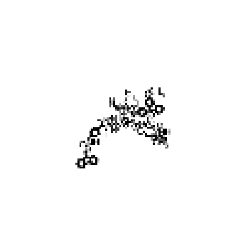 COc1ccc(C(OC[C@H]2O[C@@H](n3cc(C)c(=O)[nH]c3=O)C[C@H]2OP(OCCC#N)OC[C@H]2O[C@@H](n3cnc4c(NC(=O)c5ccc(CNC(=O)OCC6c7ccccc7-c7ccccc76)cc5)ncnc43)C[C@H]2OP(OCCC#N)N(C(C)C)C(C)C)(c2ccccc2)c2ccc(OC)cc2)cc1